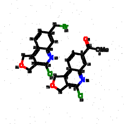 COC(=O)c1ccc2c3c(c(Cl)nc2c1)COC3.Clc1nc2cc(CBr)ccc2c2c1COC2